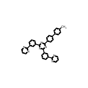 Cc1ccc(-c2ccc(-c3nc(-c4cccc(-c5ncccn5)c4)nc(-c4cccc(-c5ncccn5)c4)n3)cc2)cc1